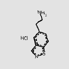 Cl.NCCc1ccc2sncc2c1